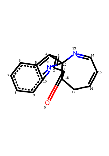 O=C1C=CC2=c3ccccc3=NC23N=CC=CCC13